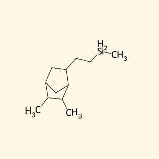 C[SiH2]CCC1CC2CC1C(C)C2C